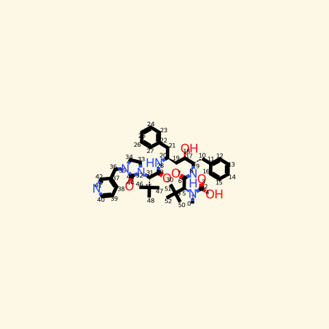 CN(C(=O)O)[C@H](C(=O)N[C@@H](Cc1ccccc1)[C@H](O)C[C@H](Cc1ccccc1)NC(=O)[C@@H](N1CCN(Cc2cccnc2)C1=O)C(C)(C)C)C(C)(C)C